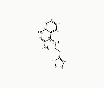 NC(=O)[C@H](NCCc1cccs1)c1ccccc1Cl